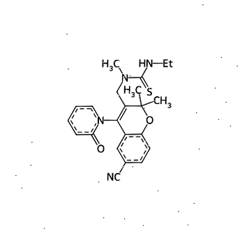 CCNC(=S)N(C)CC1=C(n2ccccc2=O)c2cc(C#N)ccc2OC1(C)C